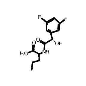 CCCC(NC(=O)[C@@H](O)c1cc(F)cc(F)c1)C(=O)O